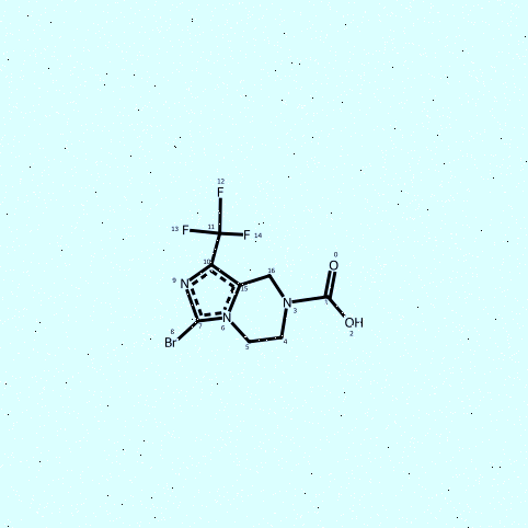 O=C(O)N1CCn2c(Br)nc(C(F)(F)F)c2C1